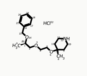 C[C@H](COCCOC1(C)CCNCC1)OCc1ccccc1.Cl